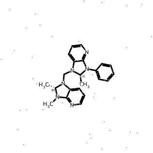 C[C@H]1N(C)c2ncccc2N1CN1c2cccnc2N(c2ccccc2)[C@H]1C